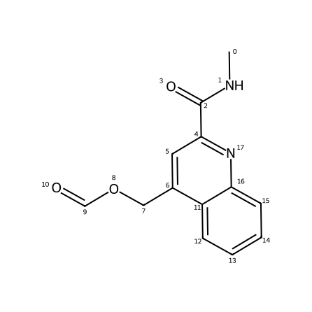 CNC(=O)c1cc(COC=O)c2ccccc2n1